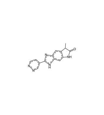 CC1C(=O)Nc2cc3[nH]c(-c4ccnnc4)nc3cc21